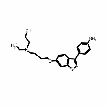 CCN(CCO)CCCCOc1ccc2c(-c3ccc(N)cc3)nsc2c1